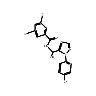 CC(NC(=O)c1cc(Cl)cc(Br)c1)c1ncnn1-c1ccc(C#N)cn1